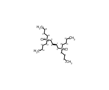 CCCC[Si](Cl)(CC=CC[Si](Cl)(CCCC)CCCC)CCCC